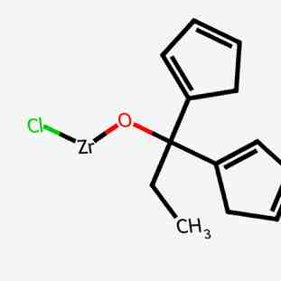 CCC([O][Zr][Cl])(C1=CC=CC1)C1=CC=CC1